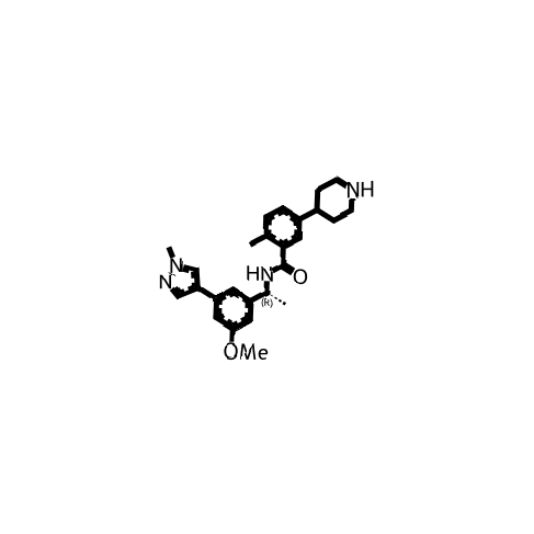 COc1cc(-c2cnn(C)c2)cc([C@@H](C)NC(=O)c2cc(C3CCNCC3)ccc2C)c1